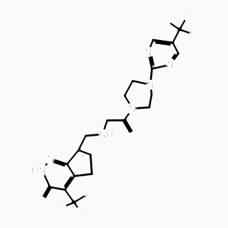 C[C@]1(CNCC(=O)N2CCN(c3ncc(C(F)(F)F)cn3)CC2)CCc2c1n[nH]c(=O)c2C(F)(F)F